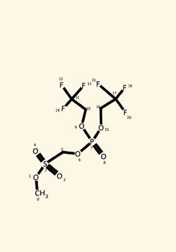 COS(=O)(=O)COP(=O)(OCC(F)(F)F)OCC(F)(F)F